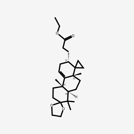 CCOC(=O)CC[C@H]1CC=C2[C@@]3(C)CCC4(OCCO4)C(C)(C)[C@@H]3CC[C@@]2(C)C12CC2